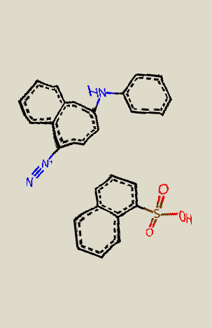 N#[N+]c1ccc(Nc2ccccc2)c2ccccc12.O=S(=O)(O)c1cccc2ccccc12